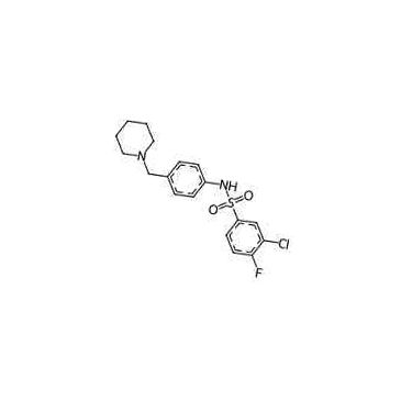 O=S(=O)(Nc1ccc(CN2CCCCC2)cc1)c1ccc(F)c(Cl)c1